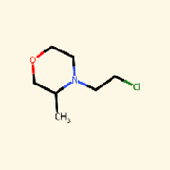 CC1COCCN1CCCl